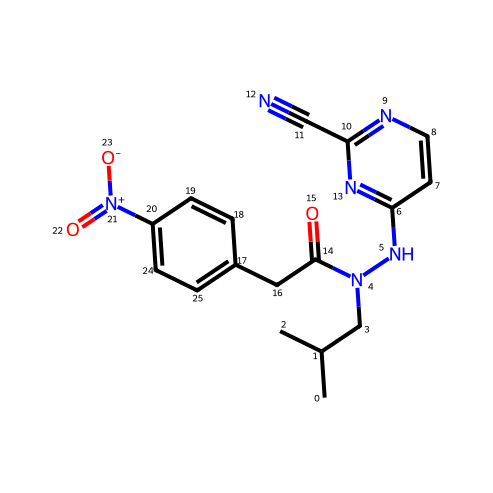 CC(C)CN(Nc1ccnc(C#N)n1)C(=O)Cc1ccc([N+](=O)[O-])cc1